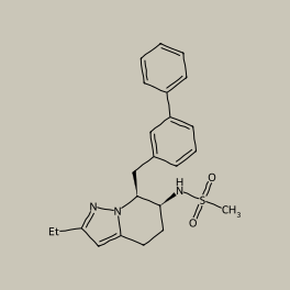 CCc1cc2n(n1)[C@@H](Cc1cccc(-c3ccccc3)c1)[C@@H](NS(C)(=O)=O)CC2